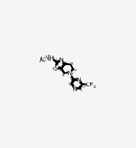 CC(=O)Nc1nc2c(s1)CN(c1cncc(C(F)(F)F)n1)CC2